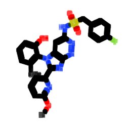 CCOC1=NC(c2nc3nnc(NS(=O)(=O)Cc4ccc(F)cc4)cc3n2-c2c(O)cccc2OC)=C=C=C1